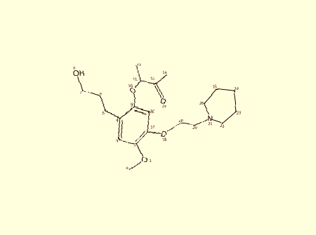 COc1cc(CCCO)c(OC(C)C(C)=O)cc1OCCN1CCCCC1